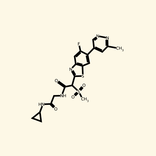 Cc1cc(-c2cc3sc(C(C(=O)NCC(=O)NC4CC4)S(C)(=O)=O)nc3cc2F)cnn1